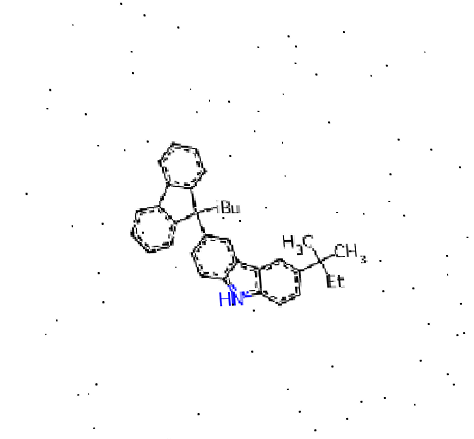 CCC(C)C1(c2ccc3[nH]c4ccc(C(C)(C)CC)cc4c3c2)c2ccccc2-c2ccccc21